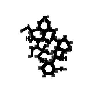 CCC(C)c1cncc2nc(-c3ccnc4[nH]c(-c5ccccc5F)cc34)nc(N(N)C(CC)C(C)(I)CN)c12